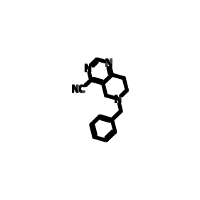 N#Cc1ncnc2c1CN(Cc1ccccc1)CC2